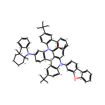 Cc1cc2c3c(c1)N(c1ccc(C(C)(C)C)cc1-c1ccccc1)c1cc(N4c5ccccc5C5(C)CCCCC45C)ccc1B3c1cc(C(C)(C)C)ccc1N2c1ccc2c(c1)oc1ccccc12